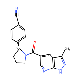 Cc1n[nH]c2ncc(C(=O)N3CCC[C@H]3c3ccc(C#N)cc3)cc12